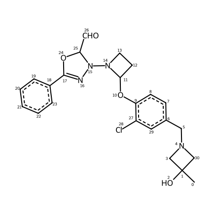 CC1(O)CN(Cc2ccc(OC3CCN3N3N=C(c4ccccc4)OC3C=O)c(Cl)c2)C1